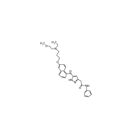 CCN(CCCOc1ccc2c(Nc3cc(CC(=O)Nc4ccccc4)n[nH]3)cccc2c1)CCOC